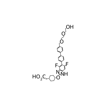 O=C(O)C[C@H]1CC[C@H](Oc2nc3c(F)c(-c4ccc(-c5ccc(COCCOCCO)cc5)cc4)c(F)cc3[nH]2)CC1